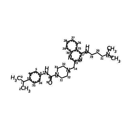 CC(C)c1ccc(NC(=O)N2CCN(Cc3nc(NCCCN(C)C)c4ccccc4n3)CC2)cc1